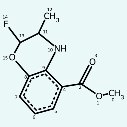 COC(=O)c1cccc2c1NC(C)C(F)O2